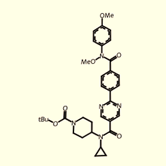 COc1ccc(N(OC)C(=O)c2ccc(-c3ncc(C(=O)N(C4CC4)C4CCN(C(=O)OC(C)(C)C)CC4)cn3)cc2)cc1